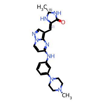 C[C@@H]1NC(=O)/C(=C/c2cnn3ccc(Nc4cccc(N5CCN(C)CC5)c4)nc23)N1